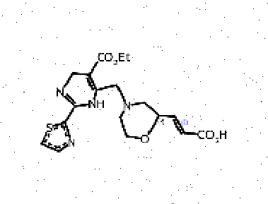 CCOC(=O)C1=C(CN2CCO[C@H](/C=C/C(=O)O)C2)NC(c2nccs2)=NC1